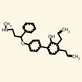 C=CCc1ccc(-c2ccc(OC(CCNC)c3ccccc3)cc2)c(O)c1CC=C